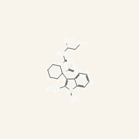 CC(C)C[C@H](C=O)NC(=O)[C@@H]1CCCC[C@@]1(C(N)=O)c1c(C(=O)O)n(C)c2ccccc12